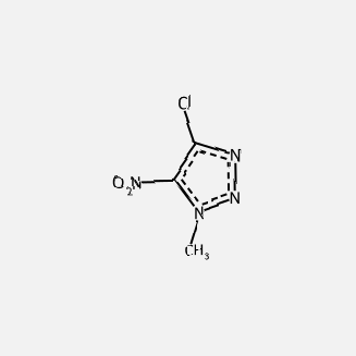 Cn1nnc(Cl)c1[N+](=O)[O-]